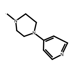 [CH2]N1CCN(c2ccncc2)CC1